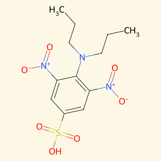 CCCN(CCC)c1c([N+](=O)[O-])cc(S(=O)(=O)O)cc1[N+](=O)[O-]